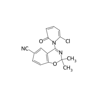 CC1(C)N=C(n2c(Cl)cccc2=O)c2cc(C#N)ccc2O1